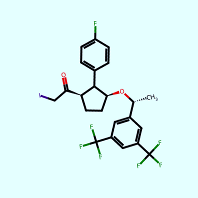 C[C@@H](O[C@H]1CC[C@@H](C(=O)CI)C1c1ccc(F)cc1)c1cc(C(F)(F)F)cc(C(F)(F)F)c1